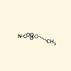 CCCCCCC[C@H]1CC[C@H](C(=O)Oc2ccc3cc(C#N)ccc3c2)CC1